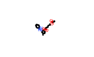 C=CC(=O)OCCCCCC(=O)Oc1ccc(C)cc1-n1nc2ccccc2n1